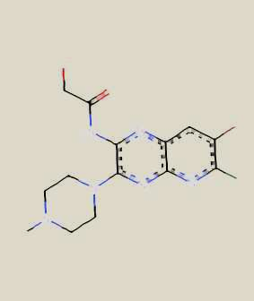 CN1CCN(c2nc3nc(Cl)c(Br)cc3nc2NC(=O)CO)CC1